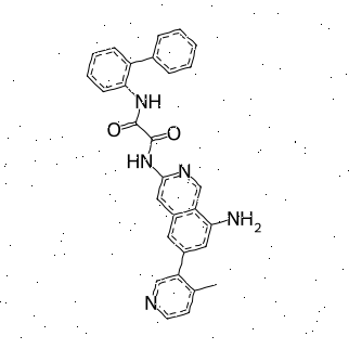 Cc1ccncc1-c1cc(N)c2cnc(NC(=O)C(=O)Nc3ccccc3-c3ccccc3)cc2c1